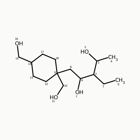 CCC(C(C)O)C(O)CC1(CO)CCC(CO)CC1